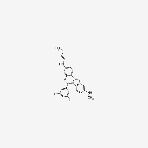 CC/C=C/Nc1ccc2c(c1)OC(c1cc(F)cc(F)c1)n1c-2cc2cc(NC)ccc21